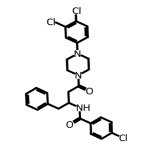 O=C(NC(CC(=O)N1CCN(c2ccc(Cl)c(Cl)c2)CC1)Cc1ccccc1)c1ccc(Cl)cc1